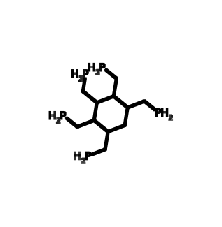 PCC1CC(CP)C(CP)C(CP)C1CP